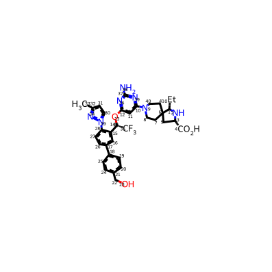 CCC1NC(C(=O)O)CC12CCN(c1cc(O[C@H](c3cc(-c4ccc(CO)cc4)ccc3-n3ccc(C)n3)C(F)(F)F)nc(N)n1)CC2